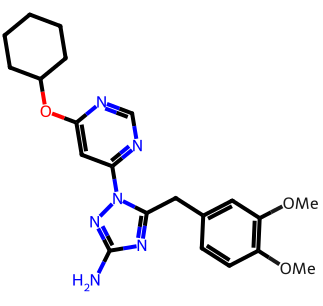 COc1ccc(Cc2nc(N)nn2-c2cc(OC3CCCCC3)ncn2)cc1OC